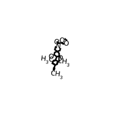 CC#Cc1cc(C)c(C2C(=O)CC3(CCN(C(=O)C4=COCCO4)CC3)CC2=O)c(C)c1